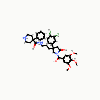 COc1cc(C(=O)N2CC(CCCNC(=O)C3(c4ccccc4)CCNCC3)(c3ccc(Cl)c(Cl)c3)CC2=O)cc(OC)c1OC